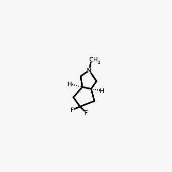 CN1C[C@@H]2CC(F)(F)C[C@@H]2C1